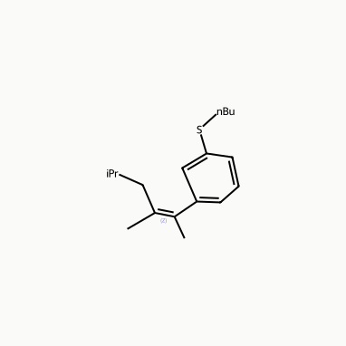 CCCCSc1cccc(/C(C)=C(/C)CC(C)C)c1